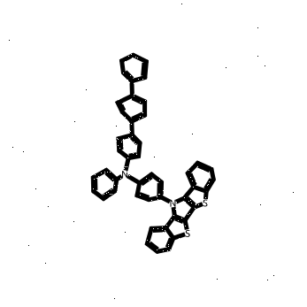 C1=CC(c2ccc(-c3ccc(N(c4ccccc4)c4ccc(-n5c6c7ccccc7sc6c6sc7ccccc7c65)cc4)cc3)cc2)=CCC1